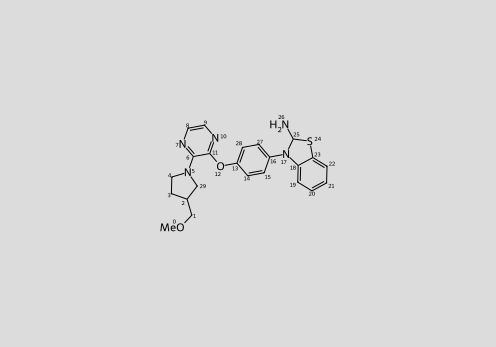 COCC1CCN(c2nccnc2Oc2ccc(N3c4ccccc4SC3N)cc2)C1